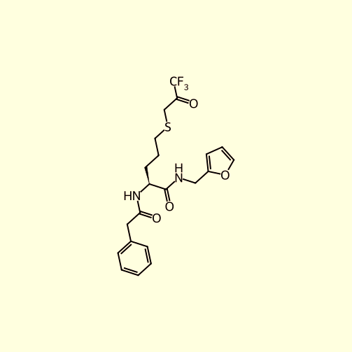 O=C(Cc1ccccc1)N[C@@H](CCCSCC(=O)C(F)(F)F)C(=O)NCc1ccco1